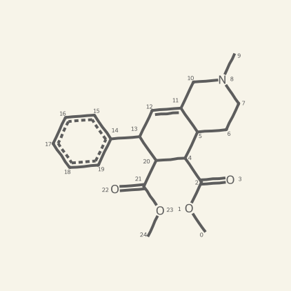 COC(=O)C1C2CCN(C)CC2=CC(c2ccccc2)C1C(=O)OC